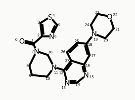 O=C(c1cscn1)N1CCCN(c2ncnc3cc(N4CCOCC4)ccc23)C1